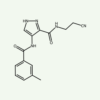 Cc1cccc(C(=O)Nc2c[nH]nc2C(=O)NCCC#N)c1